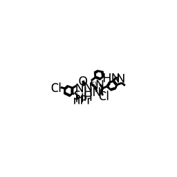 CCCSc1ccc(Cl)cc1CNC(=O)N[C@@H](Cc1ccccc1)c1nc(-c2ccc3c(C)n[nH]c3c2)c(Cl)[nH]1